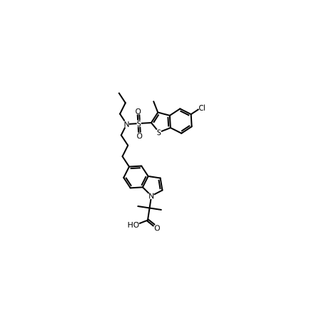 CCCN(CCCc1ccc2c(ccn2C(C)(C)C(=O)O)c1)S(=O)(=O)c1sc2ccc(Cl)cc2c1C